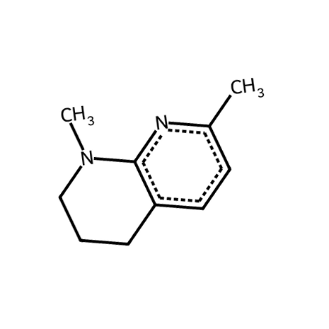 Cc1ccc2c(n1)N(C)CCC2